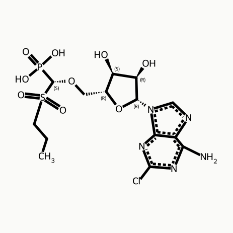 CCCS(=O)(=O)[C@@H](OC[C@H]1O[C@@H](n2cnc3c(N)nc(Cl)nc32)[C@H](O)[C@@H]1O)P(=O)(O)O